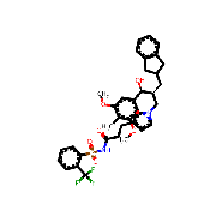 COc1cc([C@@H](O)[C@@H](CC2Cc3ccccc3C2)Cn2ccc(CCC(=O)NS(=O)(=O)c3ccccc3C(F)(F)F)c2)cc(OC)c1C